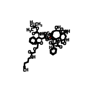 C#CCCCNC(=O)COCC(=O)O[C@@H](C(=O)O[C@H]1CC2(OC(=O)c3ccccc3)[C@@H]3[C@]4(OC(C)=O)CO[C@@H]4C[C@H](O)[C@@]3(C)C(=O)[C@H](O)C(=C1C)C(C)(C)[C@@H]2O)[C@@H](NC(=O)OC(C)(C)C)c1ccccc1